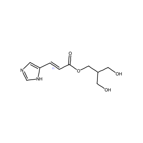 O=C(/C=C/c1cnc[nH]1)OCC(CO)CO